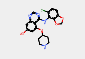 Oc1cc(OC2CCNCC2)c2c(Nc3c(Cl)ccc4c3OCO4)ncnc2c1